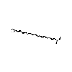 CCC(C)CCCCCCCCCCCCCCCC[C]=O